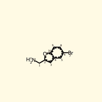 NCc1cc2cc(Br)ccc2o1